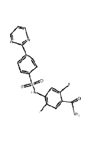 NC(=O)c1cc(F)c(NS(=O)(=O)c2ccc(-c3ncccn3)cc2)cc1F